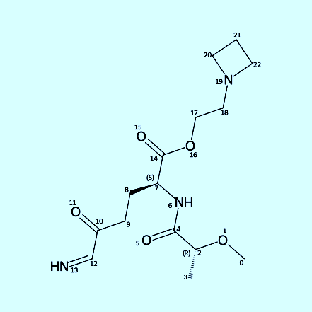 CO[C@H](C)C(=O)N[C@@H](CCC(=O)C=N)C(=O)OCCN1CCC1